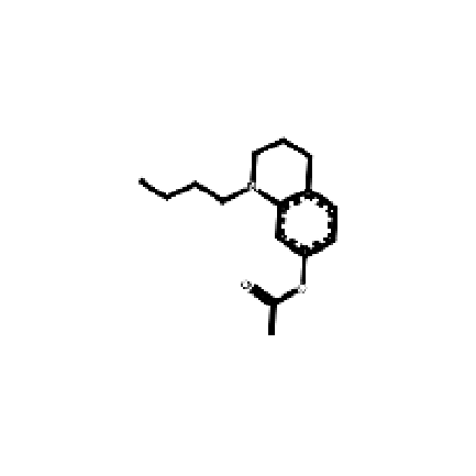 CCCCN1CCCc2ccc(OC(C)=O)cc21